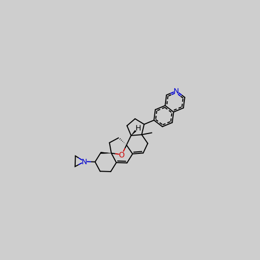 CC12CC=C3C=C4CCC(N5CC5)C[C@]45CC[C@]3(O5)[C@@H]1CCC2c1ccc2ccncc2c1